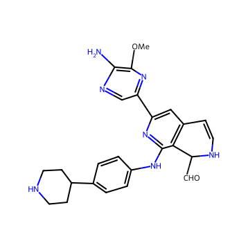 COc1nc(-c2cc3c(c(Nc4ccc(C5CCNCC5)cc4)n2)C(C=O)NC=C3)cnc1N